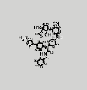 C[C@@H]1N(c2nc(N[C@H]3CC[C@H](N(C(=O)NCc4ccccc4)c4ccc(-c5cnn(C)c5)cn4)CC3)ncc2C#N)CC[C@@]1(O)C1CC1